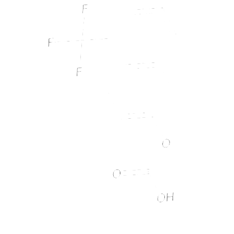 O=C(O)Oc1ccc2c(C(F)(F)F)cccc2c1